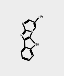 CCCc1cnc2nc3c4ccccc4[nH]c3n2c1